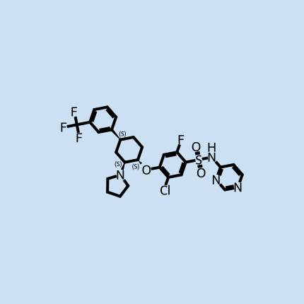 O=S(=O)(Nc1ccncn1)c1cc(Cl)c(O[C@H]2CC[C@H](c3cccc(C(F)(F)F)c3)C[C@@H]2N2CCCC2)cc1F